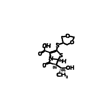 C[C@@H](O)[C@H]1C(=O)N2C(C(=O)O)=C(SC3COCOC3)S[C@@H]12